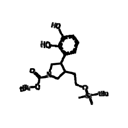 CC(C)(C)OC(=O)N1CC(CCO[Si](C)(C)C(C)(C)C)C(c2cccc(O)c2O)C1